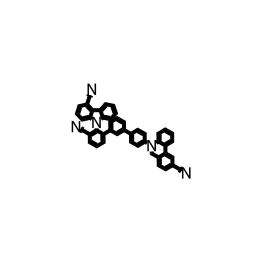 N#Cc1ccc2c(c1)-c1ccccc1N(c1ccc(-c3cccc(-c4cccc(C#N)c4-n4c5ccccc5c5c(C#N)cccc54)c3)cc1)C2